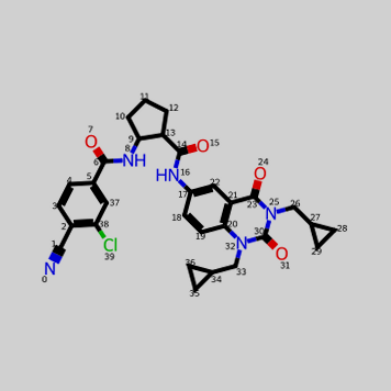 N#Cc1ccc(C(=O)NC2CCCC2C(=O)Nc2ccc3c(c2)c(=O)n(CC2CC2)c(=O)n3CC2CC2)cc1Cl